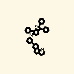 c1ccc(-c2sc3c(ccc4c3c3ccccc3n4-c3cccc(-c4ccc5c(ccc6cccnc65)c4)c3)c2-c2ccccc2)cc1